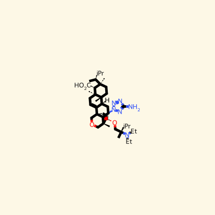 CCN(CC)[C@](C)(CO[C@H]1[C@H](n2nnc(N)n2)C[C@@]23COC[C@]1(C)[C@@H]2CC[C@H]1C3=CC[C@@]2(C)[C@H](C(=O)O)[C@@](C)([C@H](C)C(C)C)CC[C@]12C)C(C)C